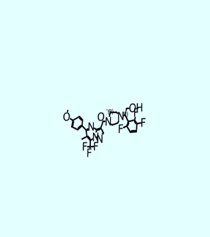 COc1ccc(-c2nc3c(C(=O)N4CCN([C@@H](CO)c5c(F)ccc(F)c5F)C[C@H]4C)cnn3c(C(F)(F)F)c2C)cc1